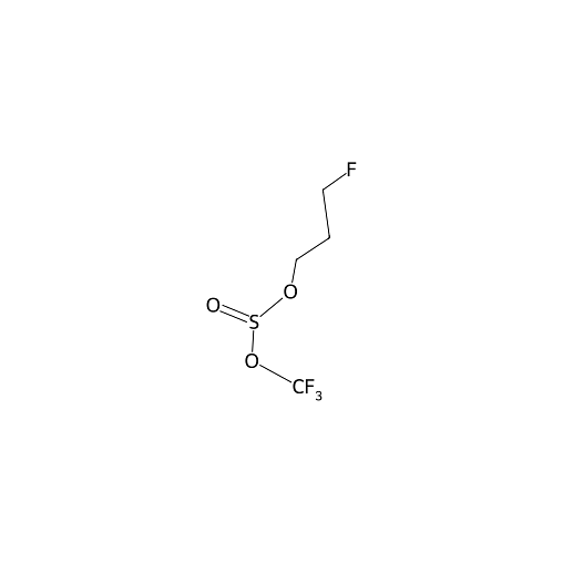 O=S(OCCCF)OC(F)(F)F